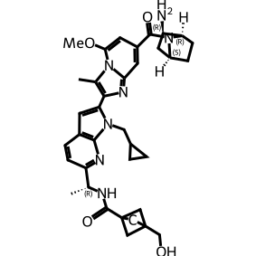 COc1cc(C(=O)N2[C@H]3CC[C@@H]2[C@H](N)C3)cc2nc(-c3cc4ccc([C@@H](C)NC(=O)C56CC(CO)(C5)C6)nc4n3CC3CC3)c(C)n12